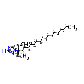 CCCCCCCCCCCCCCCCCC(CC)(CC)N1C=NNN1